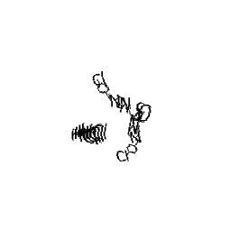 Cl.Cl.Cl.Cl.O=S=C(CCN1CCN(Cc2ccc(Cl)cc2)CC1)N1CCN(Cc2ccc(Cl)cc2)CC1